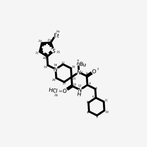 CCCCN1C(=O)C(CC2CCCCC2)NC(=O)C12CCN(Cc1ccc(CC)s1)CC2.Cl